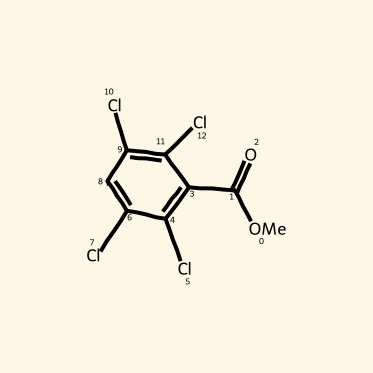 COC(=O)c1c(Cl)c(Cl)[c]c(Cl)c1Cl